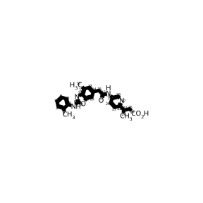 Cc1ccccc1Nc1nc2c(C)cc(CC(=O)Nc3ccc(C(C)CC(=O)O)nc3)cc2o1